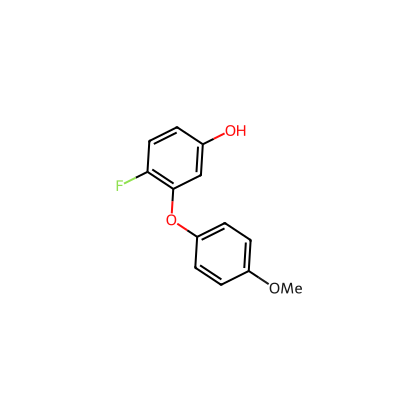 COc1ccc(Oc2cc(O)ccc2F)cc1